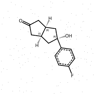 O=C1C[C@@H]2C[C@](O)(c3ccc(F)cc3)C[C@@H]2C1